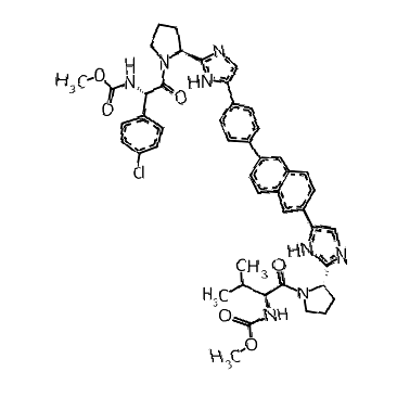 COC(=O)N[C@H](C(=O)N1CCC[C@H]1c1ncc(-c2ccc(-c3ccc4cc(-c5cnc([C@@H]6CCCN6C(=O)[C@@H](NC(=O)OC)C(C)C)[nH]5)ccc4c3)cc2)[nH]1)c1ccc(Cl)cc1